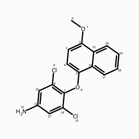 COc1ccc(Oc2c(Cl)cc(N)cc2Cl)c2ccccc12